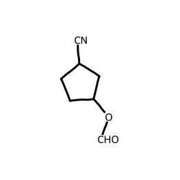 N#CC1CCC(OC=O)C1